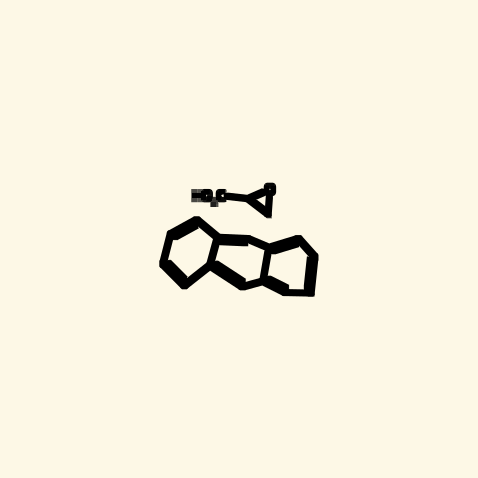 O=C(O)C1CO1.c1ccc2cc3ccccc3cc2c1